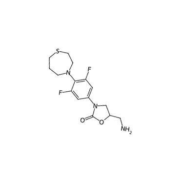 NCC1CN(c2cc(F)c(N3CCCSCC3)c(F)c2)C(=O)O1